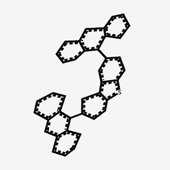 c1ccc2c(-c3ccc4sc5ccc(-c6c7ccccc7cc7ccccc67)cc5c4c3)c3ccccc3cc2c1